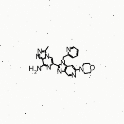 Cc1nnc2c(N)nc(-c3nc4cnc(N5CCOCC5)cc4n3Cc3ccccn3)cn12